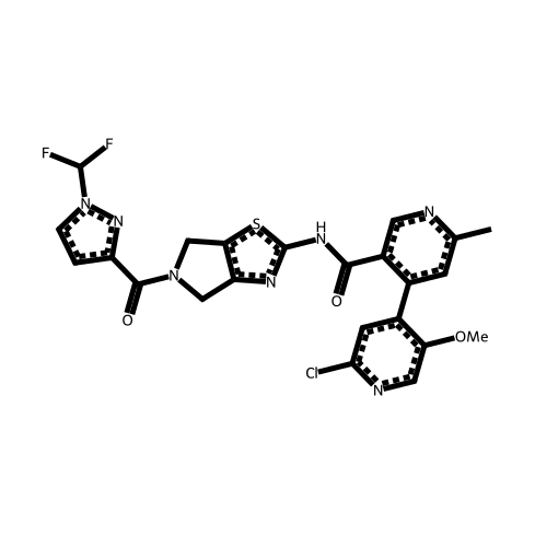 COc1cnc(Cl)cc1-c1cc(C)ncc1C(=O)Nc1nc2c(s1)CN(C(=O)c1ccn(C(F)F)n1)C2